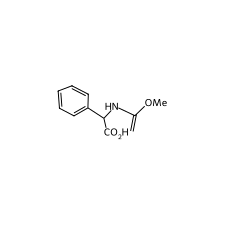 C=C(NC(C(=O)O)c1ccccc1)OC